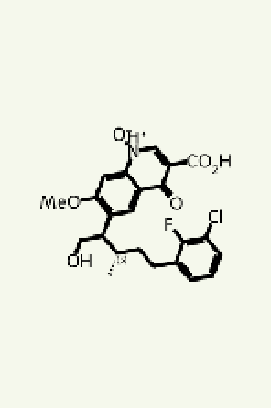 COc1cc2c(cc1C(CO)[C@@H](C)CCc1cccc(Cl)c1F)C(=O)C(C(=O)O)=C[NH+]2[O-]